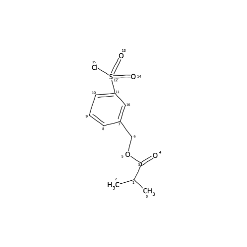 CC(C)C(=O)OCc1cccc(S(=O)(=O)Cl)c1